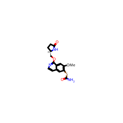 COc1cc2c(OC[C@@H]3CCC(=O)N3)nccc2cc1SC(N)=O